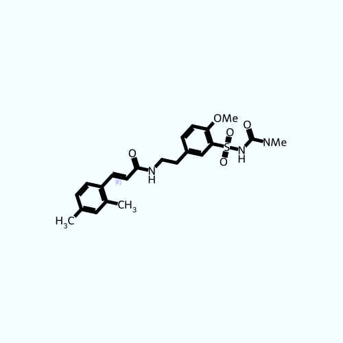 CNC(=O)NS(=O)(=O)c1cc(CCNC(=O)/C=C/c2ccc(C)cc2C)ccc1OC